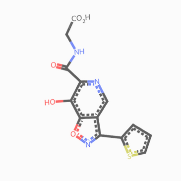 O=C(O)CNC(=O)c1ncc2c(-c3cccs3)noc2c1O